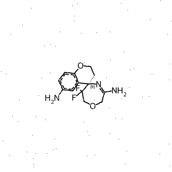 NC1=N[C@@]2(CCOc3ccc(N)cc32)C(F)(F)COC1